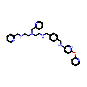 c1ccc(CNCCN(CCNCc2ccc(CNc3ccc(Oc4ccccn4)nc3)cc2)Cc2ccccn2)nc1